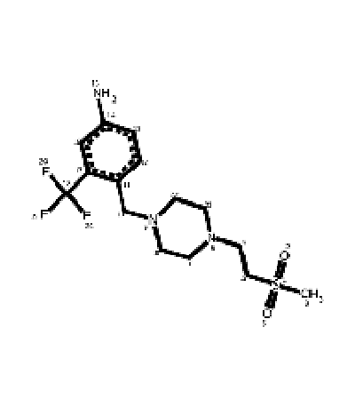 CS(=O)(=O)CCN1CCN(Cc2ccc(N)cc2C(F)(F)F)CC1